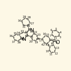 O=P(c1ccccc1)(c1ccccc1)c1ccc(-c2ccc3c(c2)nc(-c2ccccc2)c2cc4ccccc4nc23)cc1